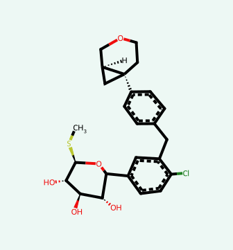 CS[C@H]1OC(c2ccc(Cl)c(Cc3ccc([C@@]45CCOC[C@@H]4C5)cc3)c2)[C@H](O)[C@@H](O)[C@@H]1O